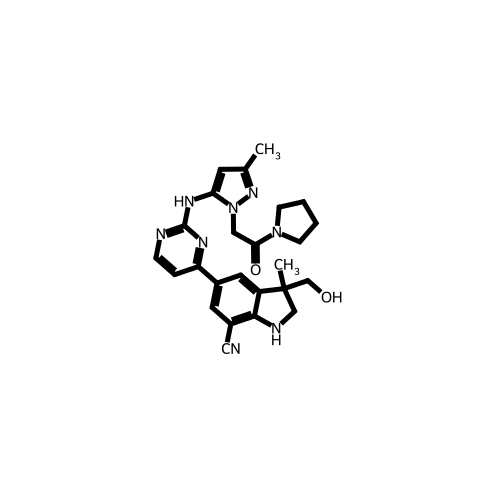 Cc1cc(Nc2nccc(-c3cc(C#N)c4c(c3)C(C)(CO)CN4)n2)n(CC(=O)N2CCCC2)n1